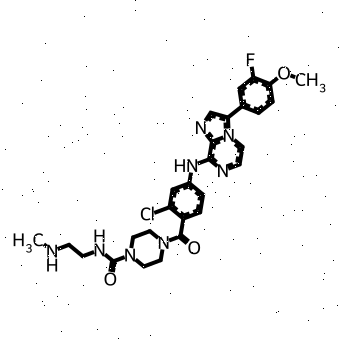 CNCCNC(=O)N1CCN(C(=O)c2ccc(Nc3nccn4c(-c5ccc(OC)c(F)c5)cnc34)cc2Cl)CC1